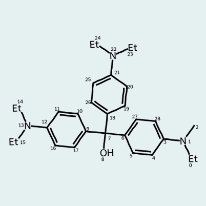 CCN(C)c1ccc(C(O)(c2ccc(N(CC)CC)cc2)c2ccc(N(CC)CC)cc2)cc1